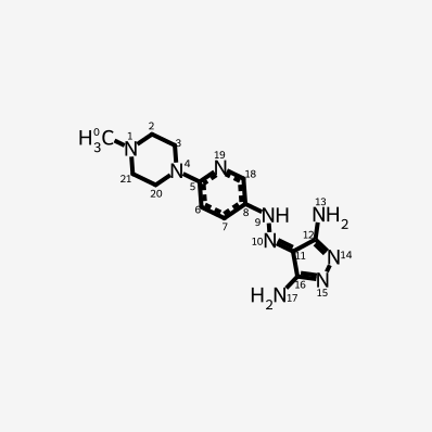 CN1CCN(c2ccc(NN=C3C(N)=NN=C3N)cn2)CC1